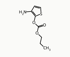 CCCOC(=O)Oc1sccc1N